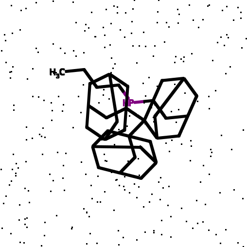 CCCCPC12CC3CC(CC(C3)C1(C13CC4CC(CC(C4)C1)C3)C13CC4CC(CC(C4)C1)C3)C2